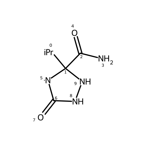 CC(C)C1(C(N)=O)[N]C(=O)NN1